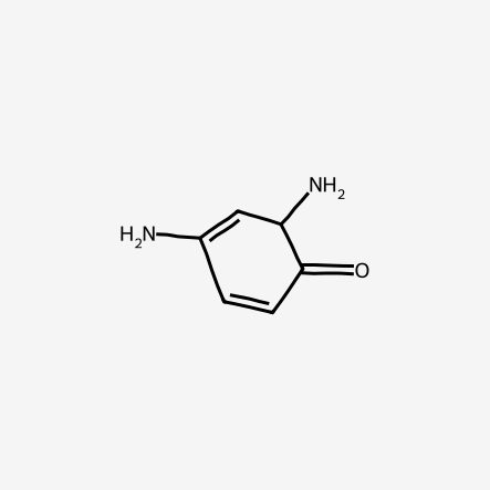 NC1=CC(N)C(=O)C=C1